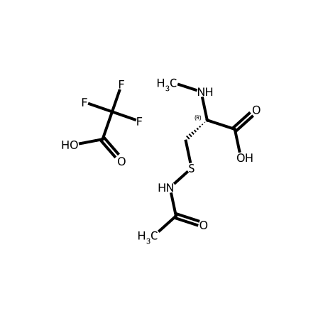 CN[C@@H](CSNC(C)=O)C(=O)O.O=C(O)C(F)(F)F